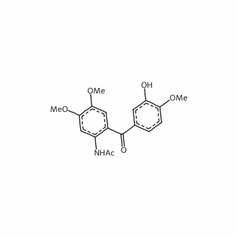 COc1ccc(C(=O)c2cc(OC)c(OC)cc2NC(C)=O)cc1O